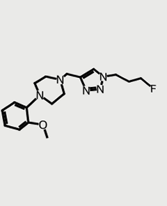 COc1ccccc1N1CCN(Cc2cn(CCCF)nn2)CC1